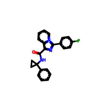 O=C(NC1(c2ccccc2)CC1)c1nc(-c2ccc(F)cc2)n2ccccc12